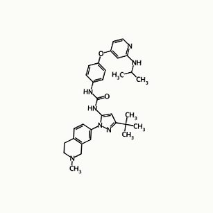 CC(C)Nc1cc(Oc2ccc(NC(=O)Nc3cc(C(C)(C)C)nn3-c3ccc4c(c3)CN(C)CC4)cc2)ccn1